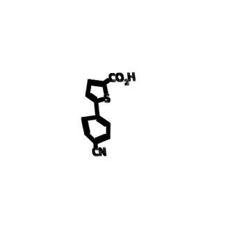 N#Cc1ccc(-c2ccc(C(=O)O)s2)cc1